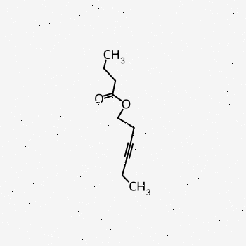 CCC#CCCOC(=O)CCC